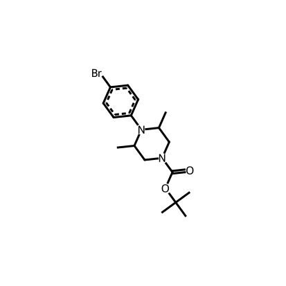 CC1CN(C(=O)OC(C)(C)C)CC(C)N1c1ccc(Br)cc1